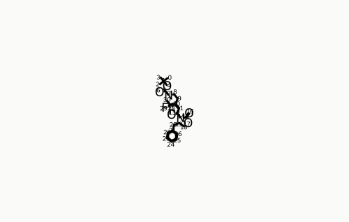 CC(C)(C)OC(=O)N1CCC(=CC(=O)N2C(=O)OCC2Cc2ccccc2)C(F)(F)C1